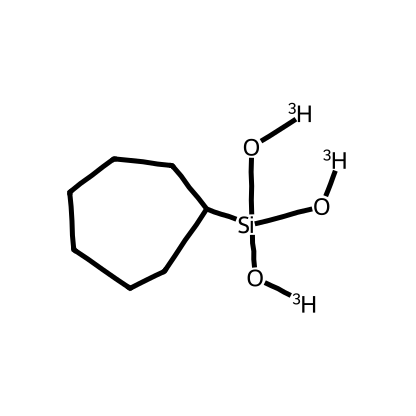 [3H]O[Si](O[3H])(O[3H])C1CCCCCC1